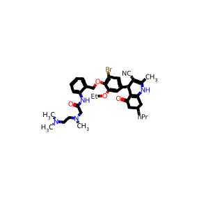 CCCC1CC(=O)C2=C(C1)NC(C)=C(C#N)C2c1cc(Br)c(OCc2ccccc2NC(=O)CN(C)CCN(C)C)c(OCC)c1